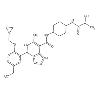 CCc1ccc(OCC2CC2)c(C2NC(C)=C(C(=O)NC3CCC(NC(=O)C(C)O)CC3)c3[nH]ccc32)c1